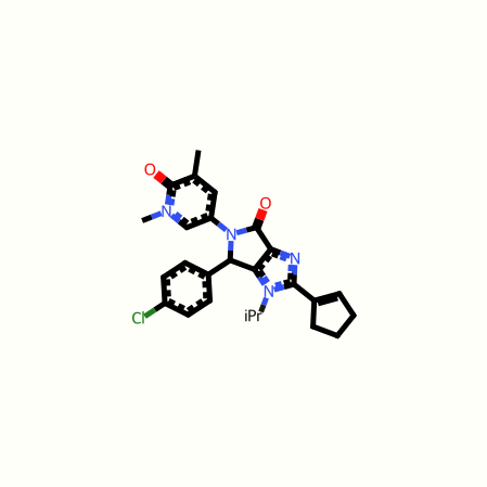 Cc1cc(N2C(=O)c3nc(C4=CCCC4)n(C(C)C)c3C2c2ccc(Cl)cc2)cn(C)c1=O